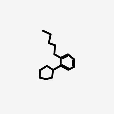 CCCCCc1ccccc1C1CCCCC1